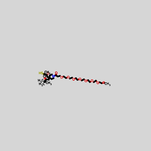 COCCOCCOCCOCCOCCOCCOCCOCCC(=O)N1CCC(CC(=O)C(C)(C)C)(CC(=O)C(C)(C)S)CC1